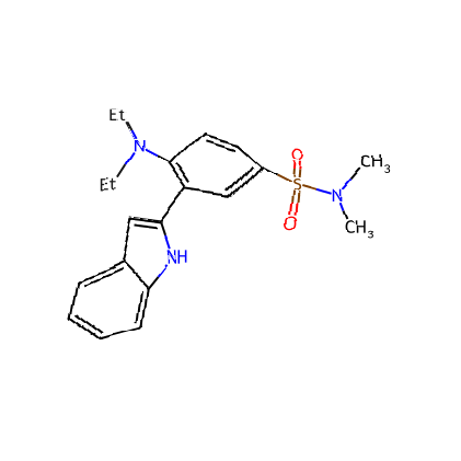 CCN(CC)c1ccc(S(=O)(=O)N(C)C)cc1-c1cc2ccccc2[nH]1